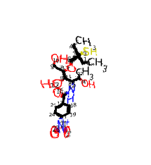 CCC(S)(CC)COC(CO)[C@H](O)[C@H](NC(=O)c1ccc([N+](=O)[O-])cc1)C(C)O